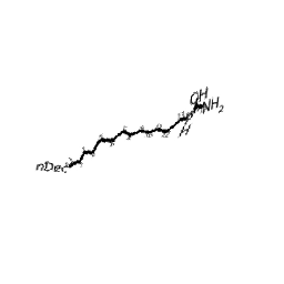 CCCCCCCCCCCCCCCCCCCCCCCPC(N)O